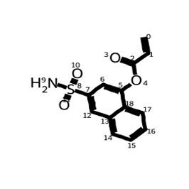 C=CC(=O)Oc1cc(S(N)(=O)=O)cc2ccccc12